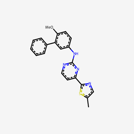 COc1ccc(Nc2nccc(-c3ncc(C)s3)n2)cc1-c1ccccc1